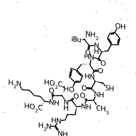 CC[C@H](C)[C@H](N)C(=O)N[C@@H](Cc1ccc(O)cc1)C(=O)N[C@@H](Cc1ccc(O)cc1)C(=O)N[C@@H](CS)C(=O)N[C@@H](C)C(=O)N[C@@H](CCCNC(=N)N)C(=O)N[C@@H](CC(=O)O)C(=O)N[C@@H](CCCCN)C(=O)O